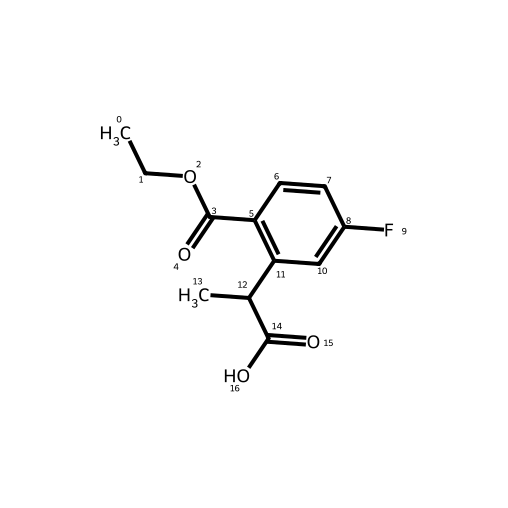 CCOC(=O)c1ccc(F)cc1C(C)C(=O)O